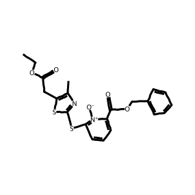 CCOC(=O)Cc1sc(Sc2cccc(C(=O)OCc3ccccc3)[n+]2[O-])nc1C